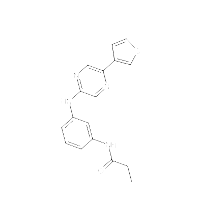 CCC(=O)Nc1cccc(Nc2cnc(-c3ccsc3)cn2)c1